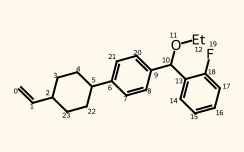 C=CC1CCC(c2ccc(C(OCC)c3ccccc3F)cc2)CC1